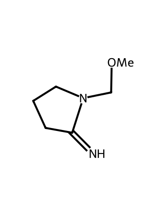 COCN1CCCC1=N